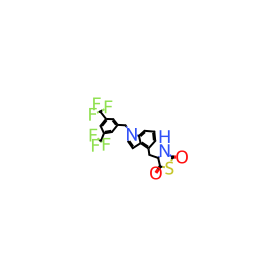 O=C1NC(Cc2cccc3c2ccn3Cc2cc(C(F)(F)F)cc(C(F)(F)F)c2)C(=O)S1